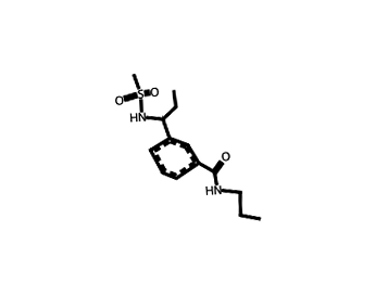 CCCNC(=O)c1cccc([C](CC)NS(C)(=O)=O)c1